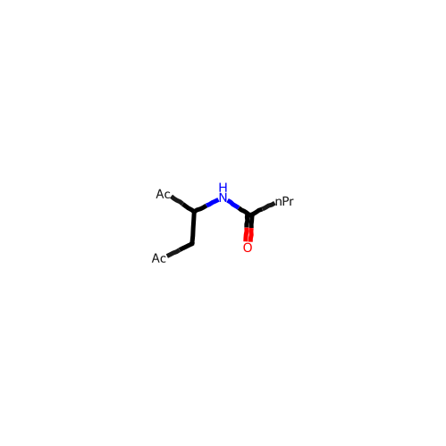 CCCC(=O)NC(CC(C)=O)C(C)=O